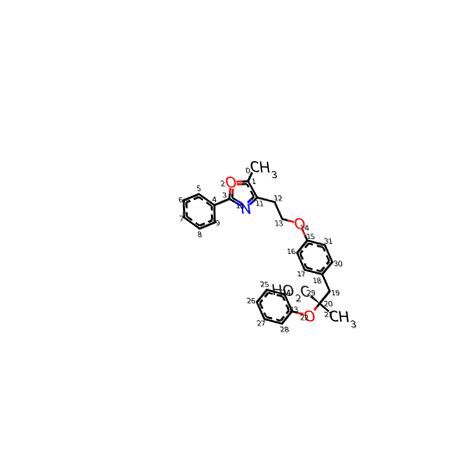 Cc1oc(-c2ccccc2)nc1CCOc1ccc(C[C@](C)(Oc2ccccc2)C(=O)O)cc1